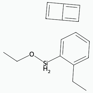 CCO[SiH2]c1ccccc1CC.c1cc2ccc1-2